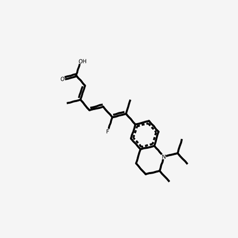 CC(C=CC(F)=C(C)c1ccc2c(c1)CCC(C)N2C(C)C)=CC(=O)O